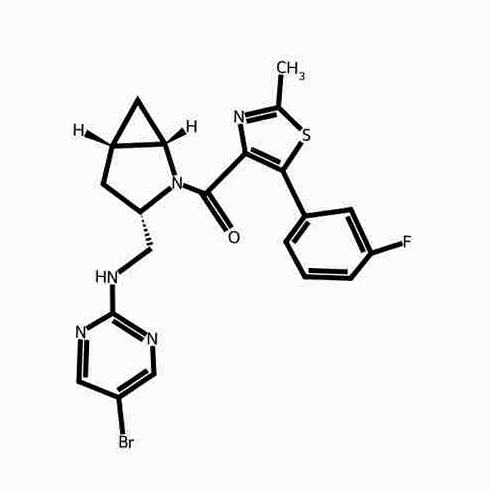 Cc1nc(C(=O)N2[C@H](CNc3ncc(Br)cn3)C[C@@H]3C[C@@H]32)c(-c2cccc(F)c2)s1